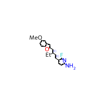 CCC(/C=C/c1ccc(N)nc1F)=C\c1cc2cc(OC)ccc2o1